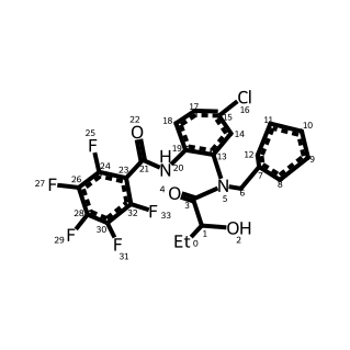 CCC(O)C(=O)N(Cc1ccccc1)c1cc(Cl)ccc1NC(=O)c1c(F)c(F)c(F)c(F)c1F